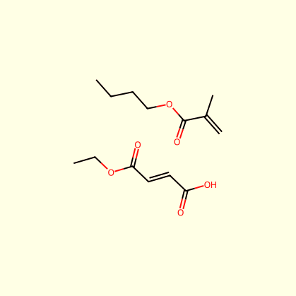 C=C(C)C(=O)OCCCC.CCOC(=O)C=CC(=O)O